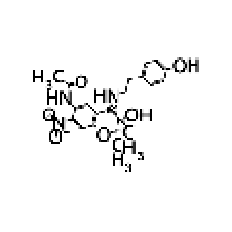 CC(=O)Nc1cc2c(cc1[N+](=O)[O-])OC(C)(C)[C@@H](O)[C@@H]2NCCc1ccc(O)cc1